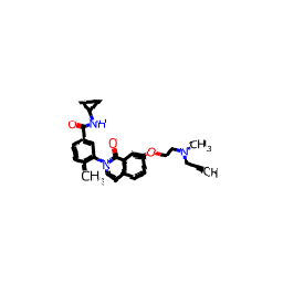 C#CCN(C)CCOc1ccc2ccn(-c3cc(C(=O)NC4CC4)ccc3C)c(=O)c2c1